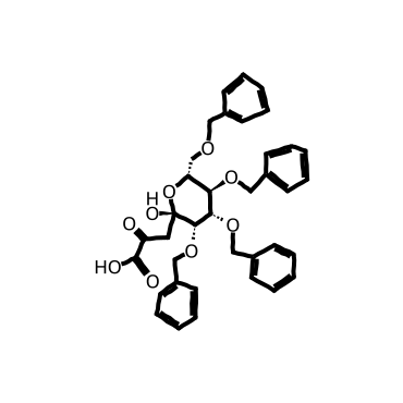 O=C(O)C(=O)C[C@]1(O)O[C@H](COCc2ccccc2)[C@@H](OCc2ccccc2)[C@H](OCc2ccccc2)[C@@H]1OCc1ccccc1